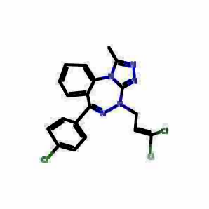 Cc1nnc2n1-c1ccccc1C(c1ccc(Cl)cc1)=NN2CC=C(Cl)Cl